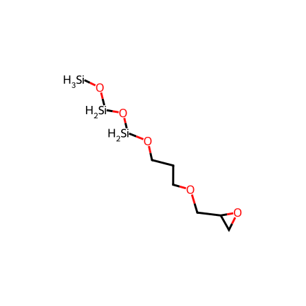 [SiH3]O[SiH2]O[SiH2]OCCCOCC1CO1